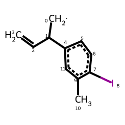 [CH2]C(C=C)c1ccc(I)c(C)c1